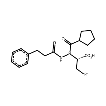 CC(C)C[C@@H](C(=O)O)N(NC(=O)CCc1ccccc1)C(=O)C1CCCC1